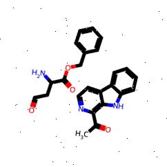 CC(=O)c1nccc2c1[nH]c1ccccc12.NC(CC=O)C(=O)OCc1ccccc1